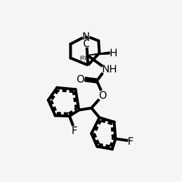 O=C(N[C@H]1CN2CCC1CC2)OC(c1cccc(F)c1)c1ccccc1F